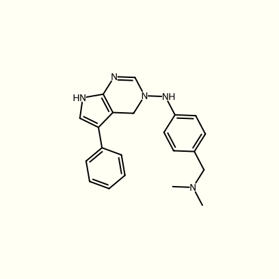 CN(C)Cc1ccc(NN2C=Nc3[nH]cc(-c4ccccc4)c3C2)cc1